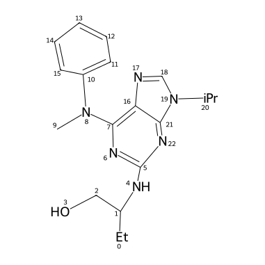 CCC(CO)Nc1nc(N(C)c2ccccc2)c2ncn(C(C)C)c2n1